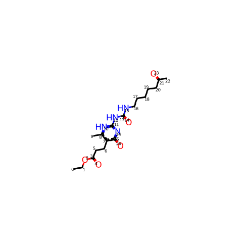 CCOC(=O)CCc1c(C)[nH]c(NC(=O)NCCCCCC(C)=O)nc1=O